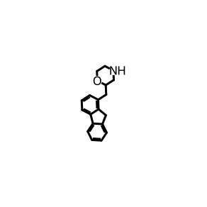 c1ccc2c(c1)Cc1c(CC3CNCCO3)cccc1-2